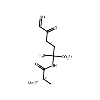 BC(CCC(=O)C=N)(NC(=O)[C@H](C)OC)C(=O)OCC